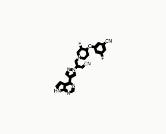 N#CCC(CN1CCC(Oc2cc(F)cc(C#N)c2)C(F)C1)n1cc(-c2ncnc3[nH]ccc23)cn1